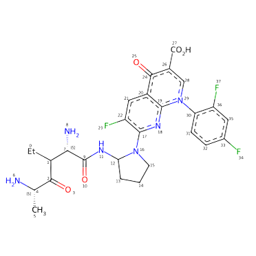 CCC(C(=O)[C@H](C)N)[C@H](N)C(=O)NC1CCCN1c1nc2c(cc1F)c(=O)c(C(=O)O)cn2-c1ccc(F)cc1F